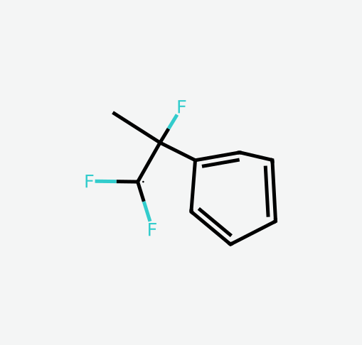 CC(F)([C](F)F)c1ccccc1